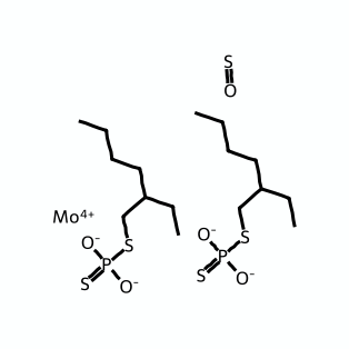 CCCCC(CC)CSP([O-])([O-])=S.CCCCC(CC)CSP([O-])([O-])=S.O=S.[Mo+4]